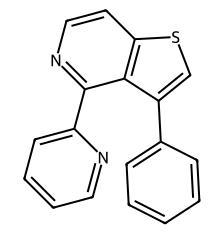 c1ccc(-c2csc3ccnc(-c4ccccn4)c23)cc1